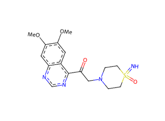 COc1cc2ncnc(C(=O)CN3CCS(=N)(=O)CC3)c2cc1OC